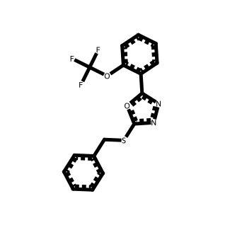 FC(F)(F)Oc1ccccc1-c1nnc(SCc2ccccc2)o1